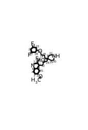 COc1ccc2ncc(CF)c(CCCC3(C(O)CCOc4cc(F)cc(F)c4)CCNCC3)c2c1